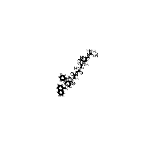 N=C(N)NCCCC(NC(=O)CNC(=O)CNC(=O)CN1CN(c2ccccc2)C2(CCN(Cc3cccc4ccccc34)CC2)C1=O)C(N)=O